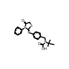 CC(C)(C)N(Cc1ccc(/N=C2\SCC(=O)N2c2ccccc2)cc1)C(=O)O